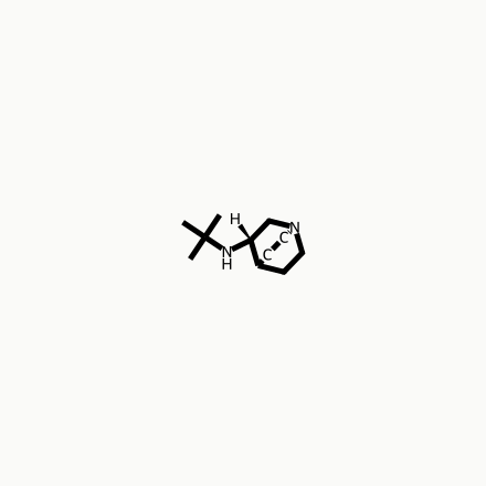 CC(C)(C)N[C@@H]1CN2CCC1CC2